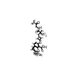 CN(C)C(=O)CNC(=O)C(C)(N)CN1CC(Oc2ccc3c(c2C(=O)O)O[B-](O)(O)[C@@H]2CC32)C1